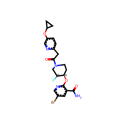 NC(=O)c1cc(Br)cnc1O[C@@H]1CCN(C(=O)Cc2ccc(OC3CC3)cn2)C[C@@H]1F